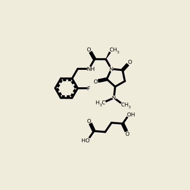 C[C@H](C(=O)NCc1ccccc1F)N1C(=O)CC(N(C)C)C1=O.O=C(O)CCC(=O)O